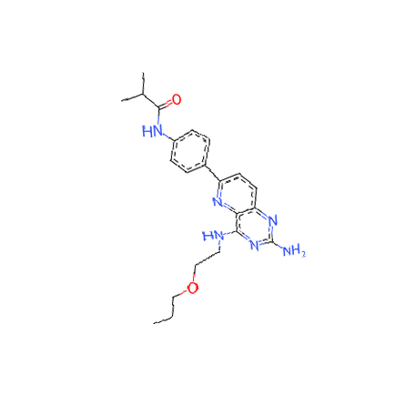 CCCOCCNc1nc(N)nc2ccc(-c3ccc(NC(=O)C(C)C)cc3)nc12